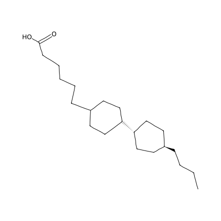 CCCC[C@H]1CC[C@H](C2CCC(CCCCCC(=O)O)CC2)CC1